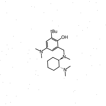 CN(C)c1cc(CN(C)[C@@H]2CCCC[C@H]2N(C)C)c(O)c(C(C)(C)C)c1